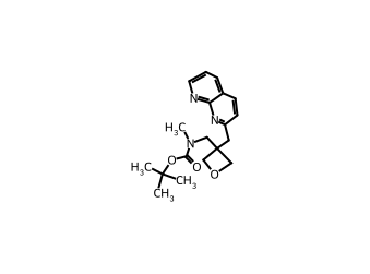 CN(CC1(Cc2ccc3cccnc3n2)COC1)C(=O)OC(C)(C)C